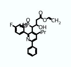 C=COC(=O)CC(O)C(c1c(C(C)C)cc(-c2ccccc2)nc1-c1ccc(F)cc1)[PH](=O)O